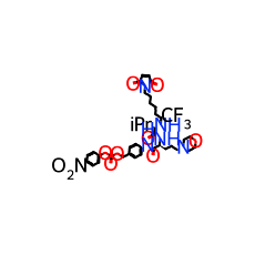 CC(C)[C@H](N[C@H](CCCCCN1C(=O)C=CC1=O)C(F)(F)F)C(=O)N[C@@H](CCCN1CCOCC1)C(=O)Nc1ccc(COC(=O)Oc2ccc([N+](=O)[O-])cc2)cc1